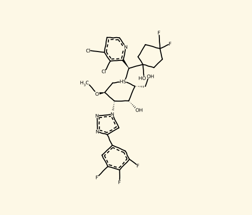 CO[C@H]1C[SH]([C@@H](c2nccc(Cl)c2Cl)C2(O)CCC(F)(F)CC2)[C@H](CO)[C@H](O)[C@@H]1n1cc(-c2cc(F)c(F)c(F)c2)nn1